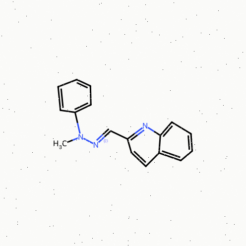 CN(/N=C/c1ccc2ccccc2n1)c1ccccc1